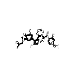 COc1nc(N[C@@H]2CCN(C)C[C@@H]2F)nn2cc(F)c(-c3cc(F)c4ncn(CC(F)F)c4c3)c12